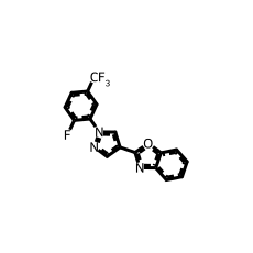 Fc1ccc(C(F)(F)F)cc1-n1cc(-c2nc3ccccc3o2)cn1